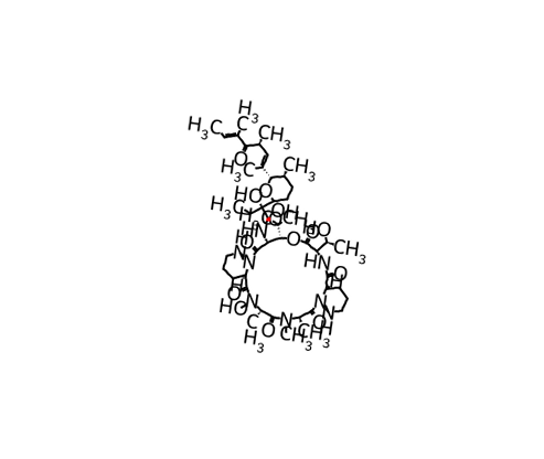 C/C=C(\C)C(=O)[C@@H](C)/C=C(\C)[C@H]1O[C@@](O)([C@@](O)(CC)C(=O)N[C@@H]2C(=O)N3NCCC[C@@H]3C(=O)N(O)[C@@H](C)C(=O)N(C)[C@H](C)C(=O)N3NCCC[C@H]3C(=O)N[C@H]([C@H](C)O)C(=O)O[C@H]2C(C)C)CC[C@@H]1C